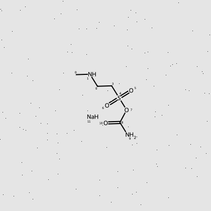 CNCCS(=O)(=O)OC(N)=O.[NaH]